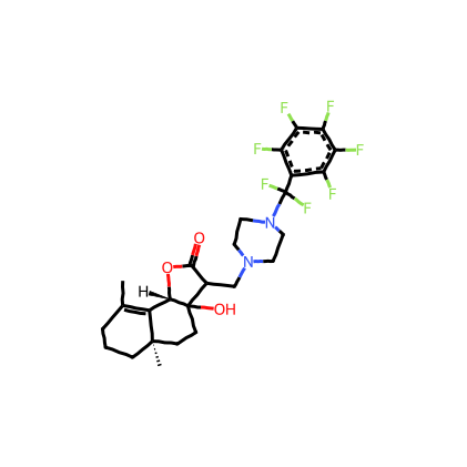 CC1=C2[C@@H]3OC(=O)C(CN4CCN(C(F)(F)c5c(F)c(F)c(F)c(F)c5F)CC4)C3(O)CC[C@@]2(C)CCC1